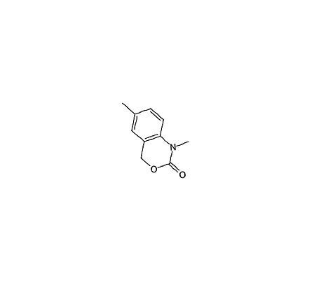 Cc1ccc2c(c1)COC(=O)N2C